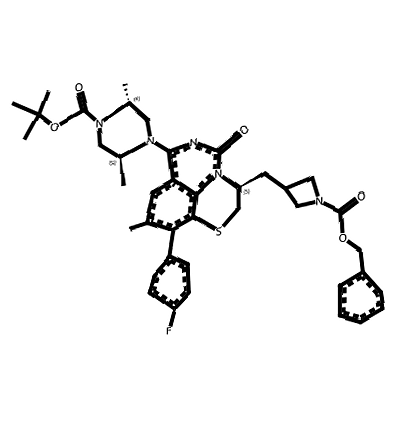 Cc1cc2c(N3C[C@@H](C)N(C(=O)OC(C)(C)C)C[C@@H]3C)nc(=O)n3c2c(c1-c1ccc(F)cc1)SC[C@@H]3CC1CN(C(=O)OCc2ccccc2)C1